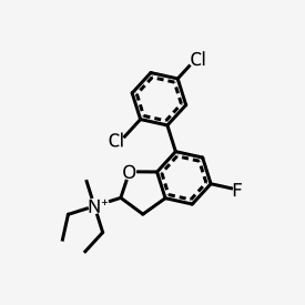 CC[N+](C)(CC)C1Cc2cc(F)cc(-c3cc(Cl)ccc3Cl)c2O1